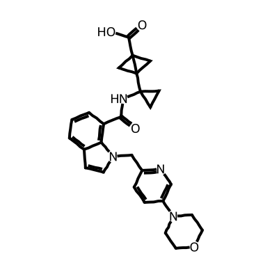 O=C(NC1(C23CC2(C(=O)O)C3)CC1)c1cccc2ccn(Cc3ccc(N4CCOCC4)cn3)c12